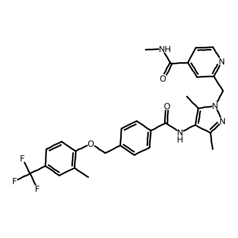 CNC(=O)c1ccnc(Cn2nc(C)c(NC(=O)c3ccc(COc4ccc(C(F)(F)F)cc4C)cc3)c2C)c1